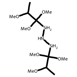 COC(C)C(OC)(OC)[SiH2]N[SiH2]C(OC)(OC)C(C)OC